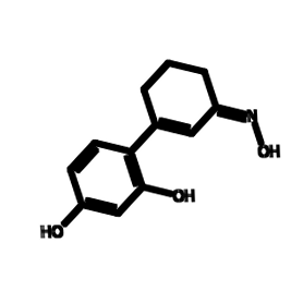 ON=C1C=C(c2ccc(O)cc2O)CCC1